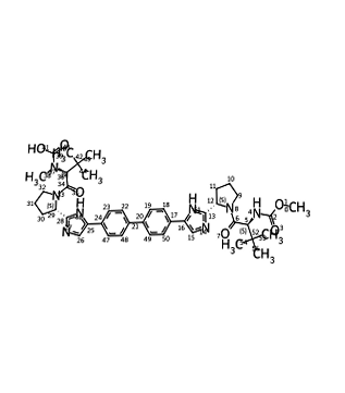 COC(=O)N[C@H](C(=O)N1CCC[C@H]1c1ncc(-c2ccc(-c3ccc(-c4cnc([C@@H]5CCCN5C(=O)[C@@H](N(C)C(=O)O)C(C)(C)C)[nH]4)cc3)cc2)[nH]1)C(C)(C)C